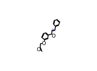 O=C(/C=C/c1ccccc1)c1cccc(OCC2CO2)c1